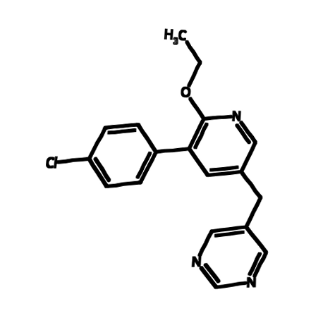 CCOc1ncc(Cc2cncnc2)cc1-c1ccc(Cl)cc1